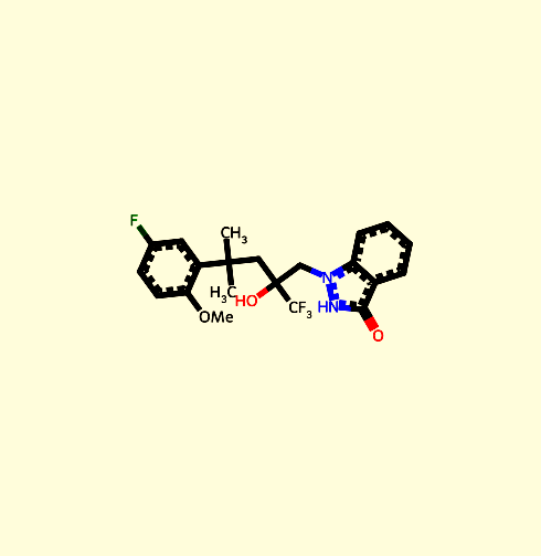 COc1ccc(F)cc1C(C)(C)CC(O)(Cn1[nH]c(=O)c2ccccc21)C(F)(F)F